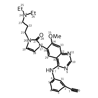 C#Cc1cccc(Nc2ncnc3cc(OC)c(-n4ccn(CCCN(CC)CC)c4=O)cc23)c1